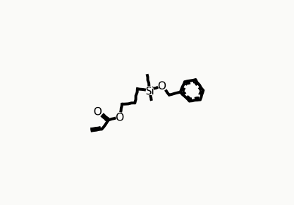 C=CC(=O)OCCC[Si](C)(C)OCc1ccccc1